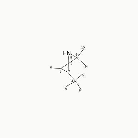 CC1C(C(C)(C)C)C12NC2(C)C